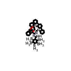 Bc1c(B)c(B)c(C(=N)/N=C(\N=C\n2c3ccccc3c3ccc4c5ccccc5n(C5=CCC(c6ccccc6)C=C5)c4c32)c2cccc(-c3ccccc3)c2)c(B)c1B